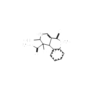 CCOC(=O)C1(C(=O)OC)C(C=O)NC=C(C(=O)OC)C1c1ccccc1Cl